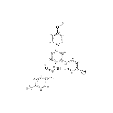 COc1ccc(-c2cnc(NC(=O)Cc3ccc(O)cc3)c(-c3ccc(O)cc3)n2)cc1